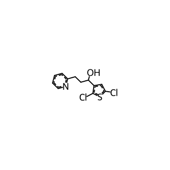 OC(CCc1ccccn1)c1cc(Cl)sc1Cl